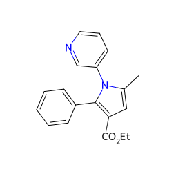 CCOC(=O)c1cc(C)n(-c2cccnc2)c1-c1ccccc1